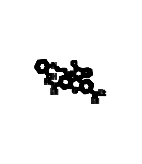 CCN(CC)c1ccc2c(c1)Oc1cc(N(CC)CC)ccc1C21c2ccccc2C(=O)N1/N=C/C=N/c1ccccc1O